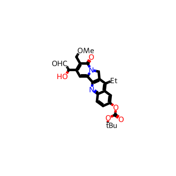 CCc1c2c(nc3ccc(OC(=O)OC(C)(C)C)cc13)-c1cc(C(O)C=O)c(COC)c(=O)n1C2